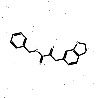 O=C(Cc1ccc2c(c1)OCO2)C(=O)OCc1ccccc1